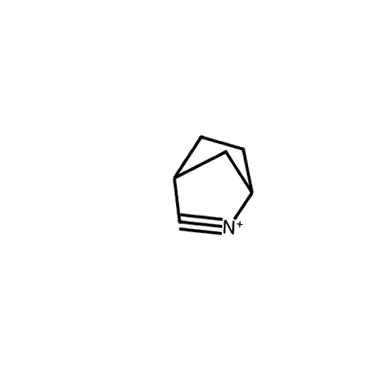 C1#[N+]C2CCC1C2